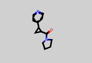 O=C(C1CC1c1ccncc1)N1CCCC1